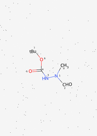 CN(C=O)NC(=O)OC(C)(C)C